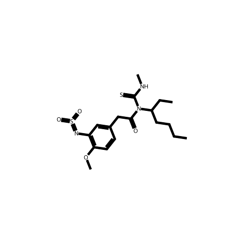 CCCCC(CC)N(C(=O)Cc1ccc(OC)c(N=S(=O)=O)c1)C(=S)NC